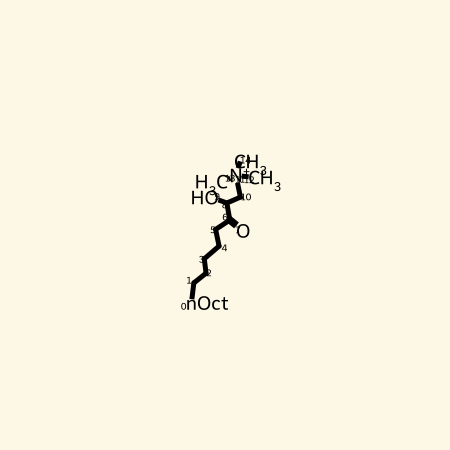 CCCCCCCCCCCCCC(=O)C(O)C[N+](C)(C)C